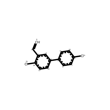 [CH]=Cc1cc(-c2ccc(Cl)cc2)ccc1Cl